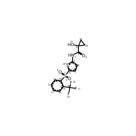 O=C(Nc1ccc(S(=O)(=O)c2ccccc2C(F)(F)F)s1)C1(O)CC1